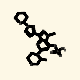 CC1COCCN1c1cc(OS(=O)(=O)C(F)(F)F)c2c(n1)c(-c1ccn(C3CCCCO3)n1)nn2C